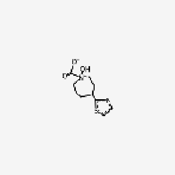 O=C([O-])[N+]1(O)CCCC(c2nccs2)CC1